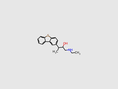 CCNCC(O)C(C)c1ccc2sc3ccccc3c2c1